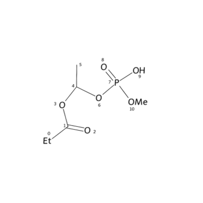 CCC(=O)OC(C)OP(=O)(O)OC